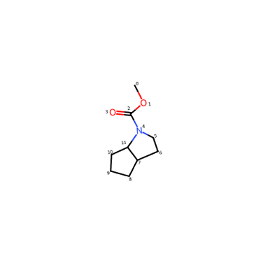 COC(=O)N1CCC2CCCC21